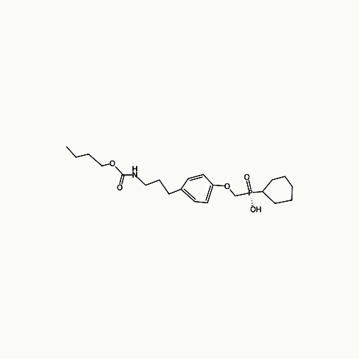 CCCCOC(=O)NCCCc1ccc(OC[P@](=O)(O)C2CCCCC2)cc1